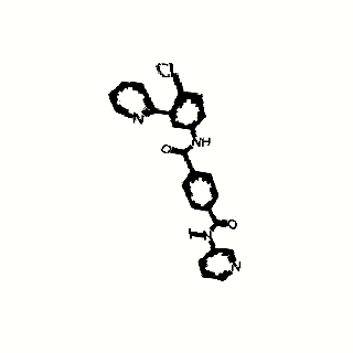 O=C(Nc1ccc(Cl)c(-c2ccccn2)c1)c1ccc(C(=O)N(I)c2cccnc2)cc1